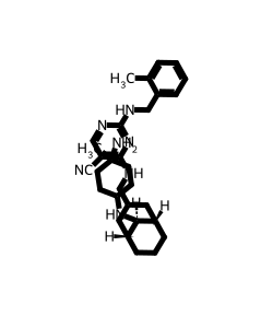 Cc1ccccc1CNc1ncc(C#N)c(NCC2C[C@H]3CCC[C@@H](C2)[C@@H]3NC2CCC(C)(N)CC2)n1